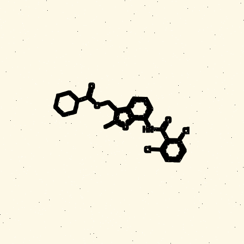 Cc1oc2c(NC(=O)c3c(Cl)cccc3Cl)cccc2c1COC(=O)C1CCCCC1